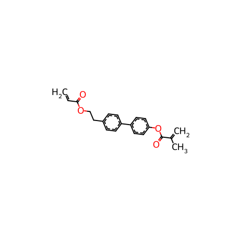 C=CC(=O)OCCc1ccc(-c2ccc(OC(=O)C(=C)C)cc2)cc1